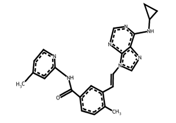 Cc1ccnc(NC(=O)c2ccc(C)c(C=Cn3cnc4c(NC5CC5)ncnc43)c2)c1